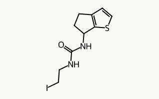 O=C(NCCI)NC1CCc2ccsc21